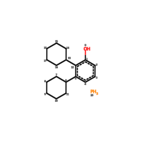 Oc1cccc(C2CCCCC2)c1C1CCCCC1.P